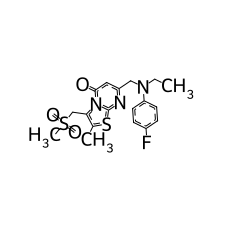 CCN(Cc1cc(=O)n2c(CS(C)(=O)=O)c(C)sc2n1)c1ccc(F)cc1